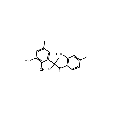 CCC(C)(Pc1ccc(F)cc1C=O)c1cc(C)cc(C(C)(C)C)c1O